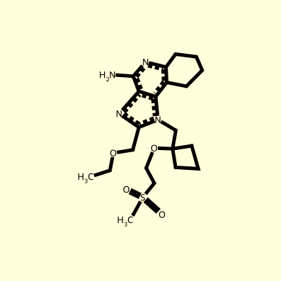 CCOCc1nc2c(N)nc3c(c2n1CC1(OCCS(C)(=O)=O)CCC1)CCCC3